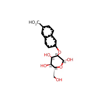 O=C(O)c1ccc2cc(O[C@@H]3[C@@H](O)[C@H](O)[C@@H](CO)O[C@H]3O)ccc2c1